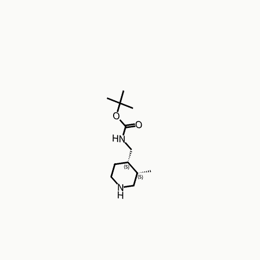 C[C@@H]1CNCC[C@@H]1CNC(=O)OC(C)(C)C